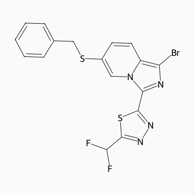 FC(F)c1nnc(-c2nc(Br)c3ccc(SCc4ccccc4)cn23)s1